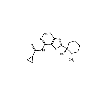 C[C@H]1CCCC[C@@]1(O)c1nc2ccnc(NC(=O)C3CC3)c2s1